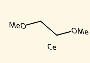 COCCOC.[Ce]